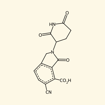 N#Cc1ccc2c(c1C(=O)O)C(=O)N(C1CCC(=O)NC1=O)C2